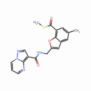 CSC(=O)c1cc(C)cc2cc(CNC(=O)c3cnn4cccnc34)oc12